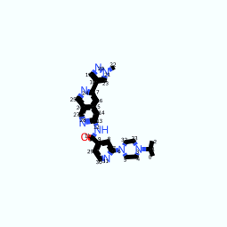 CC(C)N1CCN(c2cc(C(=O)Nc3cc4cc(-c5cnn(C)c5)ncc4cn3)ccn2)CC1